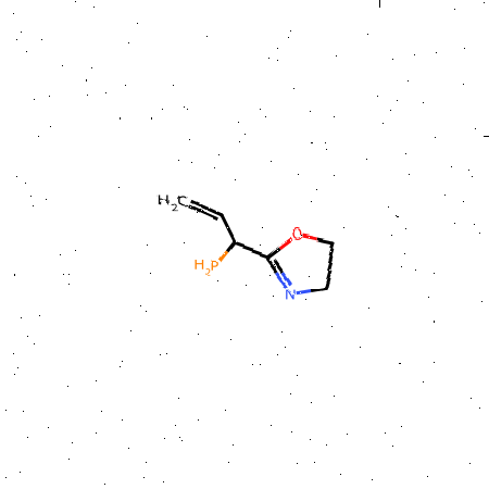 C=CC(P)C1=NCCO1